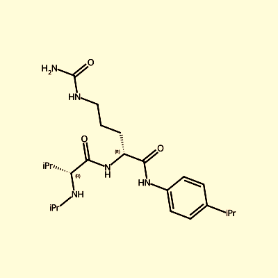 CC(C)N[C@@H](C(=O)N[C@H](CCCNC(N)=O)C(=O)Nc1ccc(C(C)C)cc1)C(C)C